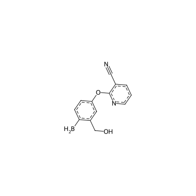 Bc1ccc(Oc2ncccc2C#N)cc1CO